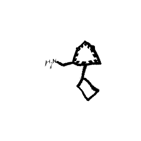 NCc1ccccc1[C]1CCC1